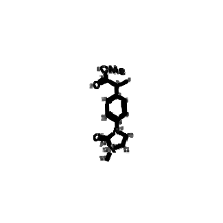 COC(=O)C(C)c1ccc(N2CCN(C)C2=O)cc1